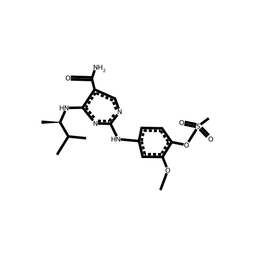 COc1cc(Nc2ncc(C(N)=O)c(N[C@H](C)C(C)C)n2)ccc1OS(C)(=O)=O